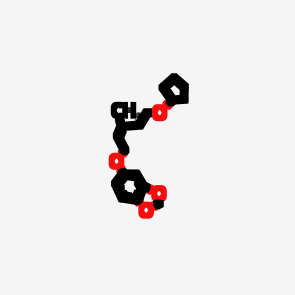 CC(=CCOc1ccc2c(c1)OCO2)CCOC1CCCC1